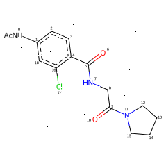 CC(=O)Nc1ccc(C(=O)NCC(=O)N2CCCC2)c(Cl)c1